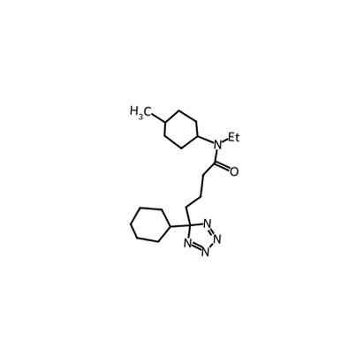 CCN(C(=O)CCCC1(C2CCCCC2)N=NN=N1)C1CCC(C)CC1